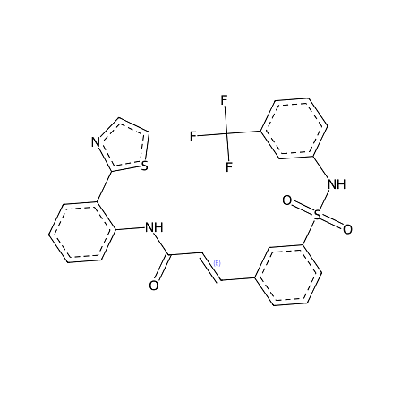 O=C(/C=C/c1cccc(S(=O)(=O)Nc2cccc(C(F)(F)F)c2)c1)Nc1ccccc1-c1nccs1